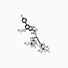 COc1cc(-c2ccc(F)cc2)cc2[nH]c(C(=O)NC[C@@H](CCCNC(=O)OC(C)(C)C)NC(=O)OC(C)(C)C)cc12